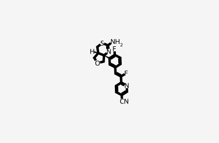 N#Cc1ccc(/C(F)=C/c2ccc(F)c([C@@]34COC[C@@H]3CSC(N)=N4)c2)nc1